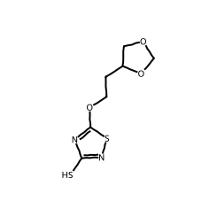 Sc1nsc(OCCC2COCO2)n1